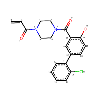 C=CC(=O)N1CCN(C(=O)c2cc(-c3ccccc3Cl)ccc2O)CC1